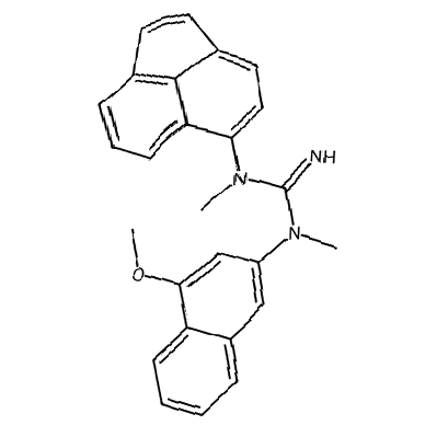 COc1cc(N(C)C(=N)N(C)c2ccc3c4c(cccc24)C=C3)cc2ccccc12